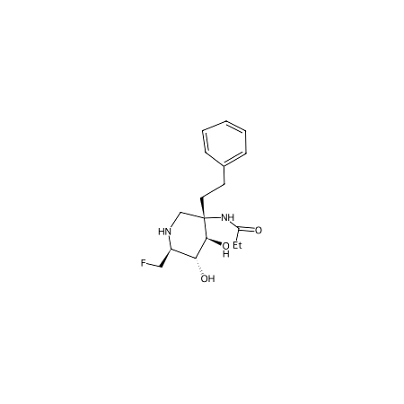 CCC(=O)N[C@@]1(CCc2ccccc2)CN[C@H](CF)[C@@H](O)[C@@H]1O